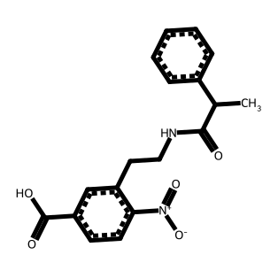 CC(C(=O)NCCc1cc(C(=O)O)ccc1[N+](=O)[O-])c1ccccc1